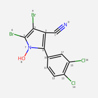 N#Cc1c(Br)c(Br)n(O)c1-c1ccc(Cl)c(Cl)c1